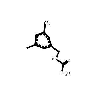 CCOC(=O)C(=O)NCc1cc(C)cc(C(F)(F)F)c1